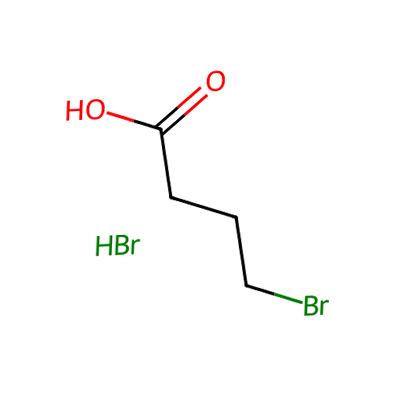 Br.O=C(O)CCCBr